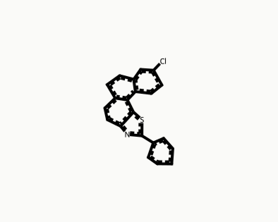 Clc1ccc2c(ccc3ccc4nc(-c5ccccc5)sc4c32)c1